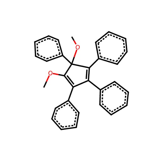 COC1=C(c2ccccc2)C(c2ccccc2)=C(c2ccccc2)C1(OC)c1ccccc1